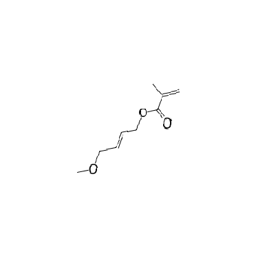 C=C(C)C(=O)OCC=CCOC